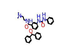 CN(C)CCNC(=O)c1cc(NC(=O)Nc2ccccc2)ccc1OC(c1ccccc1)c1ccccc1